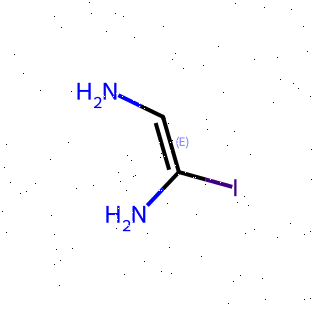 N/C=C(\N)I